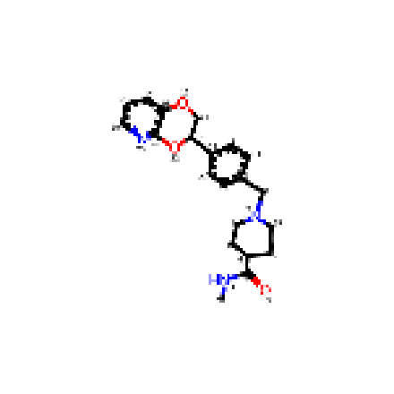 CNC(=O)C1CCN(Cc2ccc(C3COc4cccnc4O3)cc2)CC1